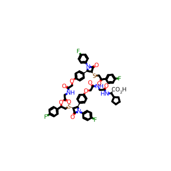 O=C(COc1ccc([C@@H]2[C@@H](SCC(OC(=O)CNC(=O)COc3ccc([C@@H]4[C@@H](SCC(=O)c5ccc(F)cc5)C(=O)N4c4ccc(F)cc4)cc3)c3ccc(F)cc3)C(=O)N2c2ccc(F)cc2)cc1)NCC(=O)N[C@@H](C(=O)O)C1CCCC1